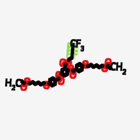 C=CC(=O)OCCCCCCOc1ccc(C(=O)Oc2ccc(OC(=O)c3ccc(OCCCCCCOC(=O)C=C)cc3)c(C(=O)OCCC(F)(F)C(F)(F)C(F)(F)C(F)(F)F)c2)cc1